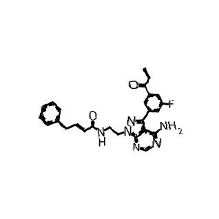 C=CC(=O)c1cc(F)cc(-c2nn(CCNC(=O)C=CCc3ccccc3)c3ncnc(N)c23)c1